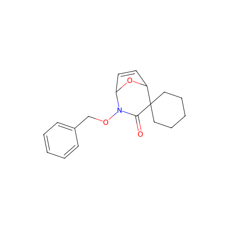 O=C1N(OCc2ccccc2)C2C=CC(O2)C12CCCCC2